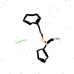 Cl.Cl.[CH2]=[Ti]([PH]Cc1ccccc1)[C]1=CC=CC1